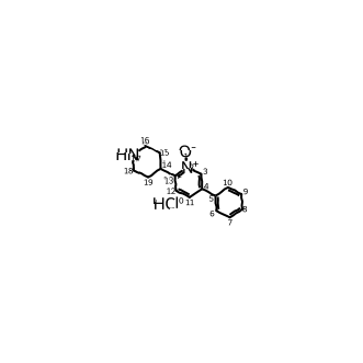 Cl.[O-][n+]1cc(-c2ccccc2)ccc1C1CCNCC1